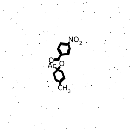 CC(=O)C1(OC(=O)c2ccc([N+](=O)[O-])cc2)CC=C(C)CC1